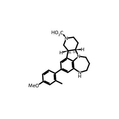 COc1ccc(-c2cc3c4c(c2)[C@@H]2CN(C(=O)O)CC[C@@H]2N4CCCN3)c(C)c1